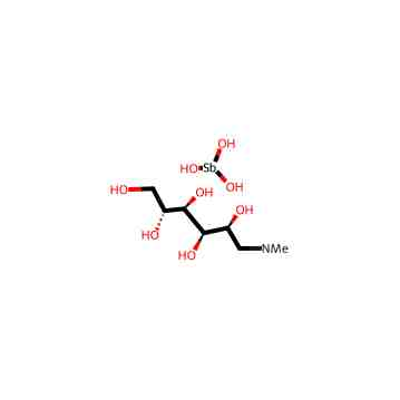 CNC[C@H](O)[C@@H](O)[C@H](O)[C@H](O)CO.[OH][Sb]([OH])[OH]